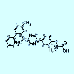 Cc1ccc(-c2ccccc2)c(N(C)c2cnc(-c3ccc(C[C@H](N)C(=O)O)cc3)cn2)c1